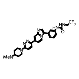 CNC1CCN(c2ccc(-c3ccn4c(-c5cccc(NC(=O)NCC(F)(F)F)c5)cnc4c3)nn2)CC1